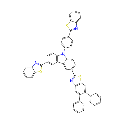 c1ccc(-c2cc3nc(-c4ccc5c(c4)c4cc(-c6nc7ccccc7s6)ccc4n5-c4ccc(-c5nc6ccccc6s5)cc4)sc3cc2-c2ccccc2)cc1